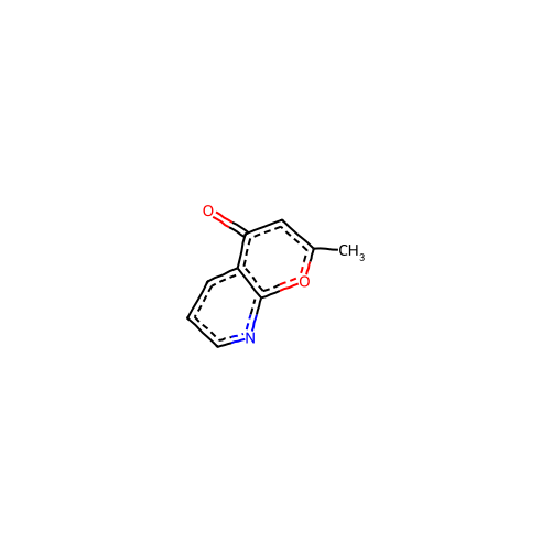 Cc1cc(=O)c2cccnc2o1